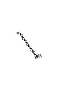 O=P(O)(O)OCCOCCOCCOCCOCCOCCOCCOCCO